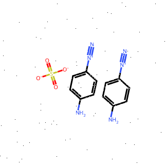 N#[N+]c1ccc(N)cc1.N#[N+]c1ccc(N)cc1.O=S(=O)([O-])[O-]